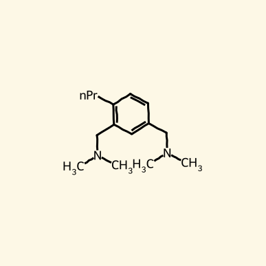 CCCc1ccc(CN(C)C)cc1CN(C)C